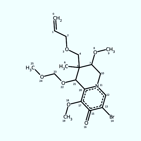 C=CCOCC1(C)C(OC)Cn2cc(Br)c(=O)c(OC)c2C1OCOC